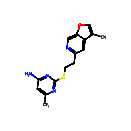 N#Cc1coc2cnc(CCSc3nc(N)cc(C(F)(F)F)n3)cc12